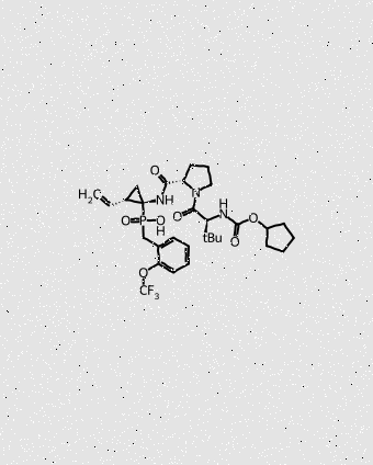 C=C[C@@H]1C[C@]1(NC(=O)[C@@H]1CCCN1C(=O)[C@@H](NC(=O)OC1CCCC1)C(C)(C)C)P(=O)(O)Cc1ccccc1OC(F)(F)F